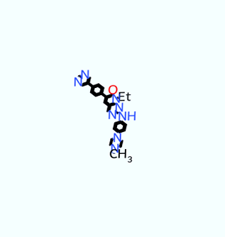 CCn1c(=O)c(-c2ccc(-c3cncnc3)cc2)cc2cnc(Nc3ccc(N4CCN(C)CC4)cc3)nc21